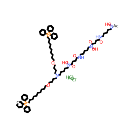 CC(=O)N(O)CCCCCNC(=O)CCC(=O)N(O)CCCCCNC(=O)CCC(=O)N(O)CCCCCN(CCCCOCCCCCCCCCC[P+](c1c[c-]ccc1)(c1ccccc1)c1ccccc1)CCCCOCCCCCCCCCC[P+](c1ccccc1)(c1ccccc1)c1ccccc1.Cl.Cl.[Cl-]